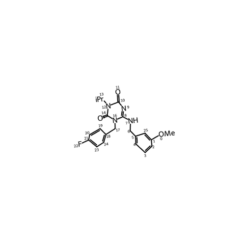 COc1cccc(CNc2nc(=O)n(C(C)C)c(=O)n2Cc2ccc(F)cc2)c1